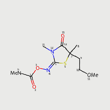 CNC(=O)ON=C1SC(C)(CCOC)C(=O)N1C